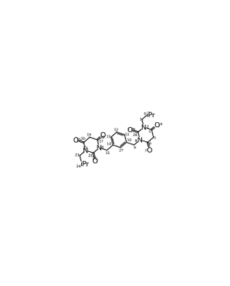 CC(C)CN1C(=O)CC(=O)N(Cc2cccc(CN3C(=O)CC(=O)N(CC(C)C)C3=O)c2)C1=O